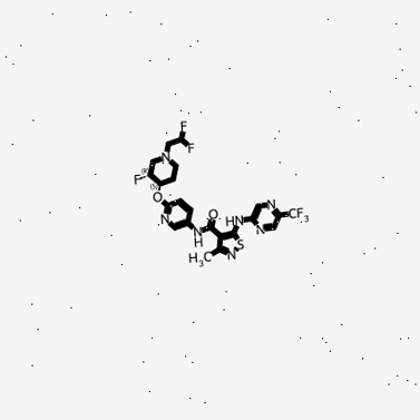 Cc1nsc(Nc2cnc(C(F)(F)F)cn2)c1C(=O)Nc1ccc(O[C@H]2CCN(CC(F)F)C[C@H]2F)nc1